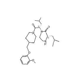 COc1ccccc1OCC1CCN(C(=O)[C@H](CC(C)C)N2CCN[C@@H](CC(C)C)C2=O)CC1